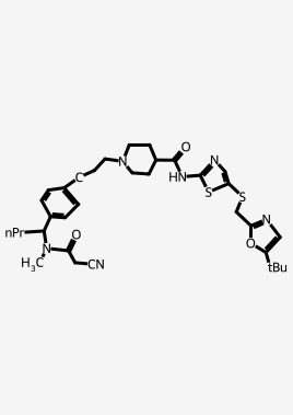 CCCC(c1ccc(CCCN2CCC(C(=O)Nc3ncc(SCc4ncc(C(C)(C)C)o4)s3)CC2)cc1)N(C)C(=O)CC#N